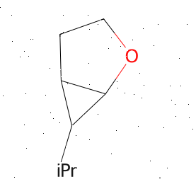 CC(C)C1C2CCOC21